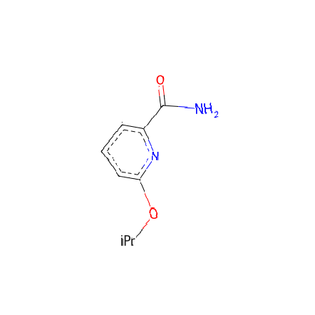 CC(C)Oc1cc[c]c(C(N)=O)n1